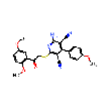 COc1ccc(-c2c(C#N)c(N)nc(SCC(=O)c3cc(OC)ccc3OC)c2C#N)cc1